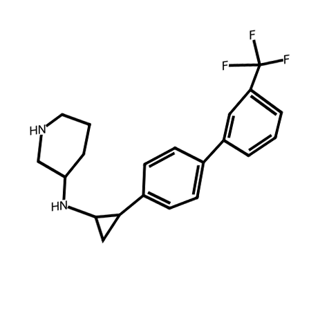 FC(F)(F)c1cccc(-c2ccc(C3CC3NC3CCCNC3)cc2)c1